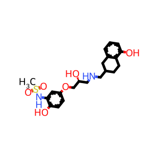 CS(=O)(=O)Nc1cc(OC[C@@H](O)CNCC2CCc3c(O)cccc3C2)ccc1O